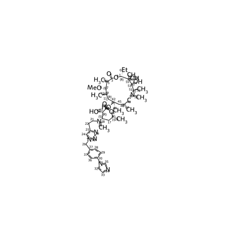 CC[C@H]1OC(=O)[C@H](C)[C@@H](OC)[C@H](C)[C@@H](O[C@@H]2O[C@H](C)C[C@H](N(C)CCc3cn(Cc4ccc(-n5ccnc5)cc4)nn3)[C@H]2O)[C@](C)(O)C[C@@H](C)CN(C)[C@H](C)[C@@H](O)[C@]1(C)O